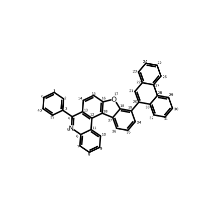 c1ccc(-c2nc3ccccc3c3c2ccc2oc4c(-c5cc6ccccc6c6ccccc56)cccc4c23)cc1